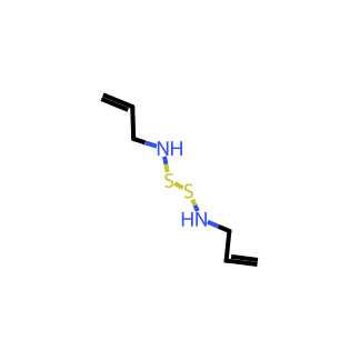 C=CCNSSNCC=C